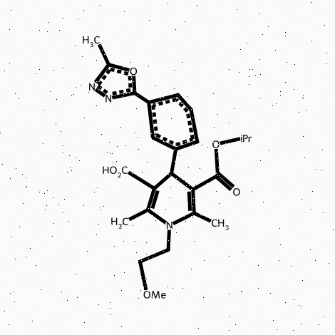 COCCN1C(C)=C(C(=O)O)C(c2cccc(-c3nnc(C)o3)c2)C(C(=O)OC(C)C)=C1C